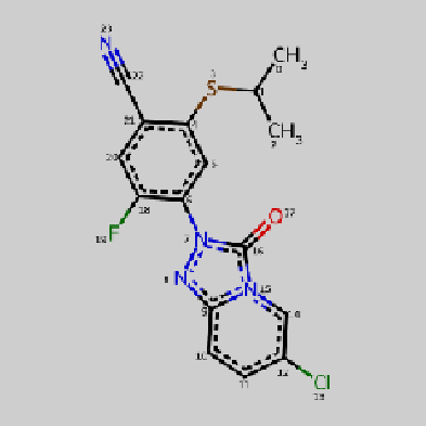 CC(C)Sc1cc(-n2nc3ccc(Cl)cn3c2=O)c(F)cc1C#N